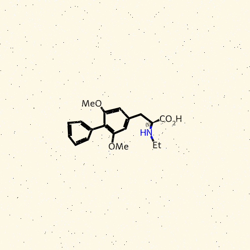 CCN[C@@H](Cc1cc(OC)c(-c2ccccc2)c(OC)c1)C(=O)O